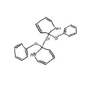 C1=CN[C](Oc2ccccc2)([Zn][C]2(Oc3ccccc3)C=CC=CN2)C=C1